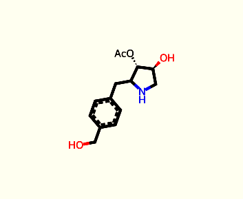 CC(=O)O[C@H]1C(Cc2ccc(CO)cc2)NC[C@@H]1O